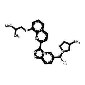 COC(C)COc1cccc2ccc(-c3nnc4ccc([C@@H](N5CCC(N)C5)C(F)(F)F)cn34)nc12